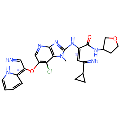 Cn1c(N/C(=C/C(=N)C2CC2)C(=O)NC2CCOC2)nc2ncc(O/C(C=N)=C3\C=CC=CN3)c(Cl)c21